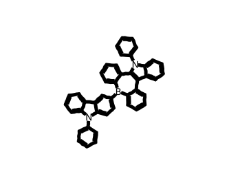 c1ccc(-n2c3c(c4ccccc42)-c2ccccc2B(c2ccc4c(c2)c2ccccc2n4-c2ccccc2)c2ccccc2-3)cc1